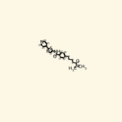 CN(C)C(=O)CCCCc1ccc(C(=O)Nc2cnc(-c3ccncc3)s2)cc1